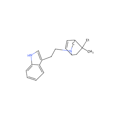 CCC1(C)CC2C=CC1CN2CCc1c[nH]c2ccccc12